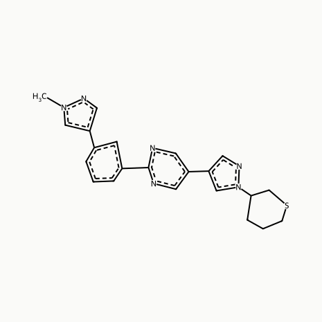 Cn1cc(-c2cccc(-c3ncc(-c4cnn(C5CCCSC5)c4)cn3)c2)cn1